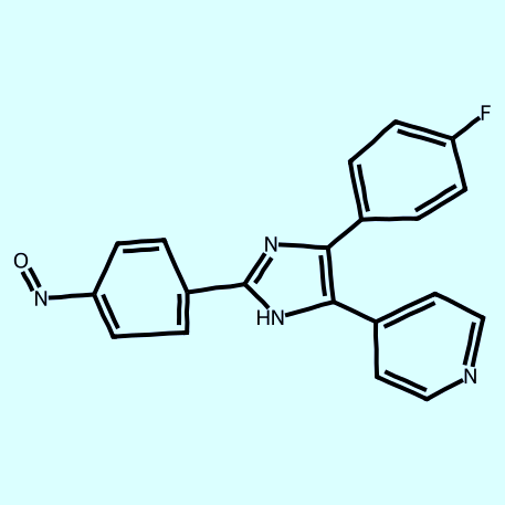 O=Nc1ccc(-c2nc(-c3ccc(F)cc3)c(-c3ccncc3)[nH]2)cc1